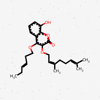 CCC=CCCOc1c(OCC=C(C)CCC=C(C)C)c(=O)oc2c(O)cccc12